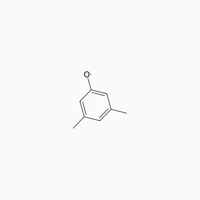 Cc1cc(C)cc([O])c1